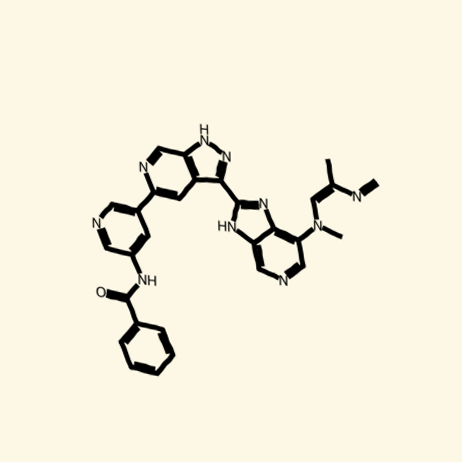 C=N/C(C)=C\N(C)c1cncc2[nH]c(-c3n[nH]c4cnc(-c5cncc(NC(=O)c6ccccc6)c5)cc34)nc12